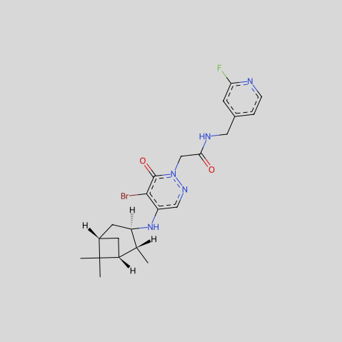 C[C@@H]1[C@H]2C[C@@H](C[C@H]1Nc1cnn(CC(=O)NCc3ccnc(F)c3)c(=O)c1Br)C2(C)C